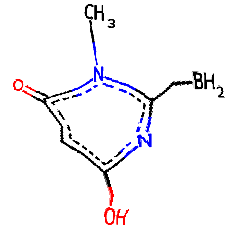 Bc1nc(O)cc(=O)n1C